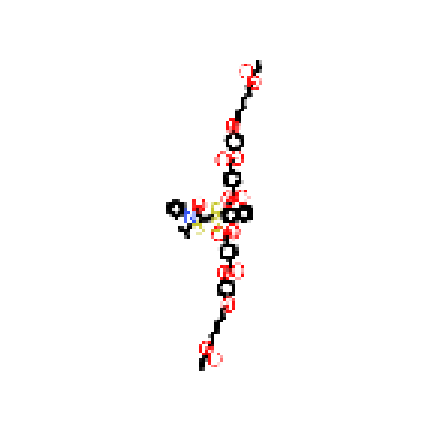 C=CC(=O)OCCCCCCOC1CCC(OC(=O)C2CCC(C(=O)Oc3c4c(c(OC(=O)C5CCC(C(=O)OC6CCC(OCCCCCCOC(=O)C=C)CC6)CC5)c5ccccc35)SC(=c3sc(=C(C)C)n(-c5ccccc5)c3=O)S4)CC2)CC1